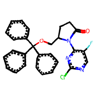 O=C1CCC(COC(c2ccccc2)(c2ccccc2)c2ccccc2)N1c1nc(Cl)ncc1F